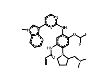 C=CC(=O)Nc1cc(Nc2nccc(-c3cn(C)c4cccnc34)n2)c(OC(F)F)cc1N1CCCC1CN(C)C